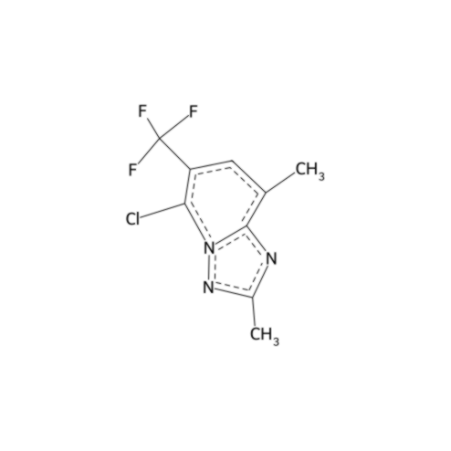 Cc1nc2c(C)cc(C(F)(F)F)c(Cl)n2n1